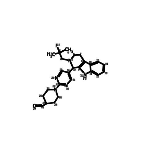 CC(C)(F)CN1CCc2c([nH]c3ccccc23)C1c1cnc(N2CCC(C=O)CC2)nc1